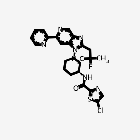 CC(C)(F)Cc1nc2cnc(-c3ccccn3)cc2n1[C@@H]1CCC[C@H](NC(=O)c2ncc(Cl)s2)C1